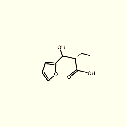 CC[C@H](C(=O)O)C(O)c1ccco1